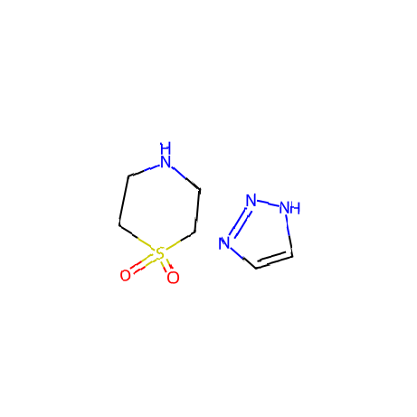 O=S1(=O)CCNCC1.c1c[nH]nn1